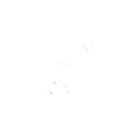 Cn1cc(C2=CCC(S(=O)(=O)N[C@H]3CC[C@H](C(=O)N[C@@H](c4ccccc4)C(C)(C)O)CC3)C=C2)cn1